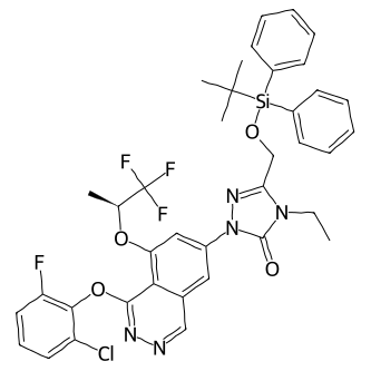 CCn1c(CO[Si](c2ccccc2)(c2ccccc2)C(C)(C)C)nn(-c2cc(O[C@@H](C)C(F)(F)F)c3c(Oc4c(F)cccc4Cl)nncc3c2)c1=O